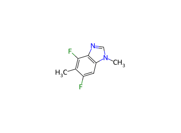 Cc1c(F)cc2c(ncn2C)c1F